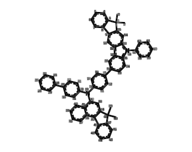 CC1(C)c2ccccc2-c2cc3c4cc(-c5ccc(N(c6ccc(-c7ccccc7)cc6)c6cc7c(c8ccccc68)-c6ccccc6C7(C)C)cc5)ccc4n(-c4ccccc4)c3cc21